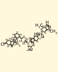 Cc1n[nH]c2c(C)cc(C(=O)Nc3ccc4c(c3)nc(CN3CCC(c5cccc6c5OC(C)(c5ccc(Cl)cc5F)O6)CC3)n4CC3CCO3)cc12